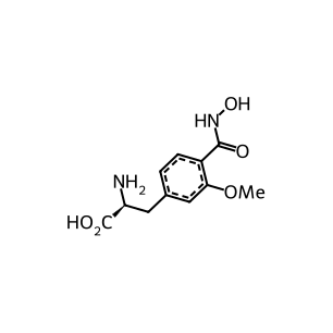 COc1cc(C[C@H](N)C(=O)O)ccc1C(=O)NO